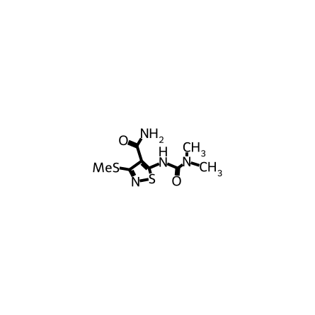 CSc1nsc(NC(=O)N(C)C)c1C(N)=O